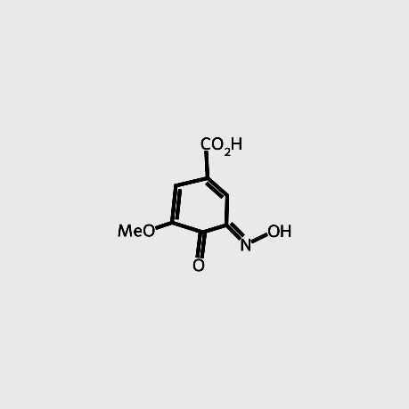 COC1=CC(C(=O)O)=C/C(=N\O)C1=O